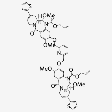 C=CCOC(=O)N1c2cc(OCc3cccc(COc4cc5c(cc4OC)C(=O)N4CC=C(c6cccs6)C[C@H]4C(OC)N5C(=O)OCC=C)n3)c(OC)cc2C(=O)N2CC=C(c3cccs3)C[C@H]2C1OC